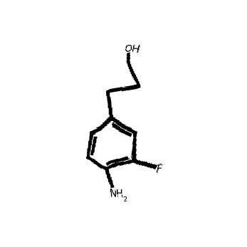 Nc1ccc(CCO)cc1F